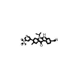 Cc1cc2c(=O)c3c4ccc(C#N)cc4[nH]c3n(C(C)C)c2cc1-c1cncc(S(=O)(=O)F)c1